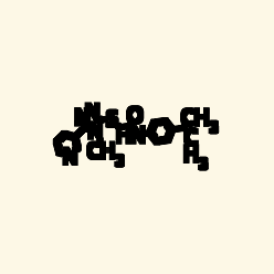 CCn1c(SCC(=O)Nc2ccc(C(C)C)cc2)nnc1-c1cccnc1